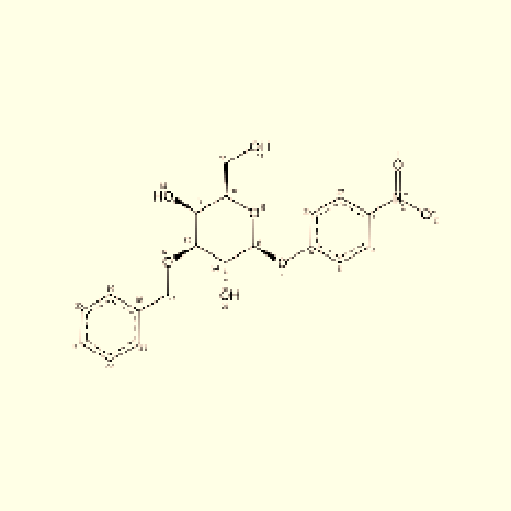 O=[N+]([O-])c1ccc(O[C@@H]2O[C@H](CO)[C@H](O)[C@H](OCc3ccccc3)[C@H]2O)cc1